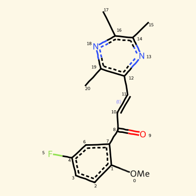 COc1ccc(F)cc1C(=O)/C=C/c1nc(C)c(C)nc1C